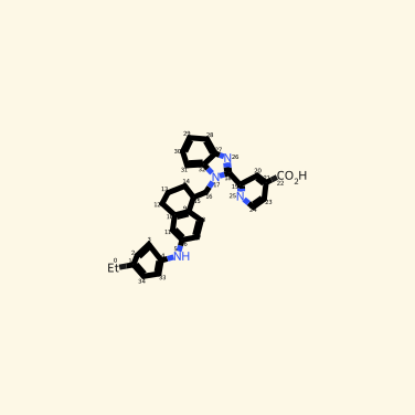 CCc1ccc(Nc2ccc3c(c2)CCCC3Cn2c(-c3cc(C(=O)O)ccn3)nc3ccccc32)cc1